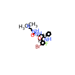 CN(C)CCCNC(=O)NC[C@H]1CC[C@@H]2[C@H](O1)c1cc(Br)cc(F)c1N[C@H]2c1ccccc1